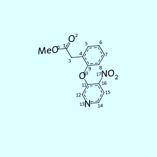 COC(=O)Cc1ccccc1Oc1cnccc1[N+](=O)[O-]